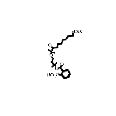 CCCCCCCCCCCCCCCCCC(=O)C(C)(C)OCCC(C)(C)OC(=O)c1ccccc1C(=O)O